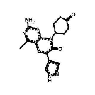 Cc1nc(N)nc2c1cc(-c1cn[nH]c1)c(=O)n2C1CCC(=O)CC1